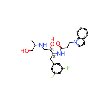 CC(CO)NC[C@@H](O)[C@H](Cc1cc(F)cc(F)c1)NC(=O)CCn1ccc2ccccc21